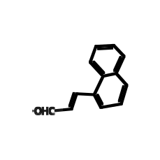 O=[C]/C=C/c1cccc2ccccc12